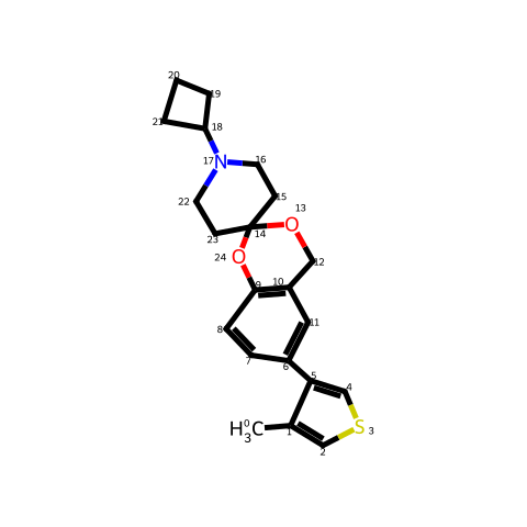 Cc1cscc1-c1ccc2c(c1)COC1(CCN(C3CCC3)CC1)O2